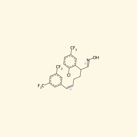 O/N=C/C(CC/C=C\c1cc(C(F)(F)F)cc(C(F)(F)F)c1)c1cc(C(F)(F)F)ccc1Cl